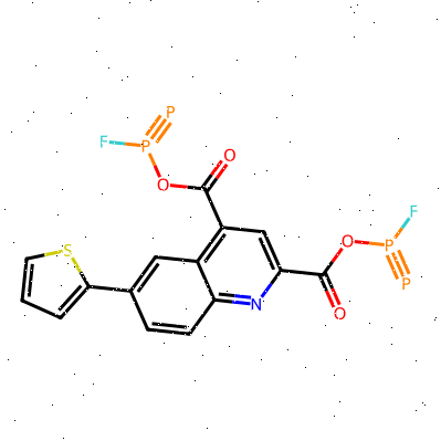 O=C(OP(F)#P)c1cc(C(=O)OP(F)#P)c2cc(-c3cccs3)ccc2n1